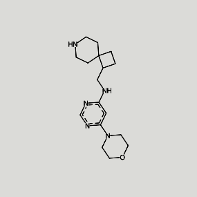 c1nc(NCC2CCC23CCNCC3)cc(N2CCOCC2)n1